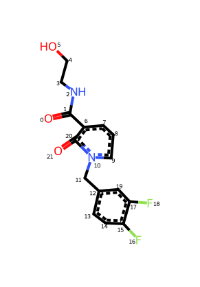 O=C(NCCO)c1cccn(Cc2ccc(F)c(F)c2)c1=O